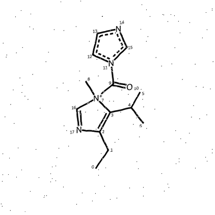 CCC1=C(C(C)C)[N+](C)(C(=O)n2ccnc2)C=N1